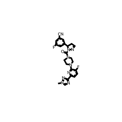 Cn1cnc(-c2ccc(F)c(N3CCN(C(=O)N4N=CCC4c4cc(F)cc(C#N)c4)CC3)n2)n1